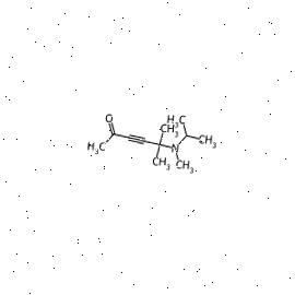 CC(=O)C#CC(C)(C)N(C)C(C)C